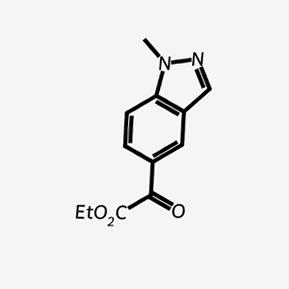 CCOC(=O)C(=O)c1ccc2c(cnn2C)c1